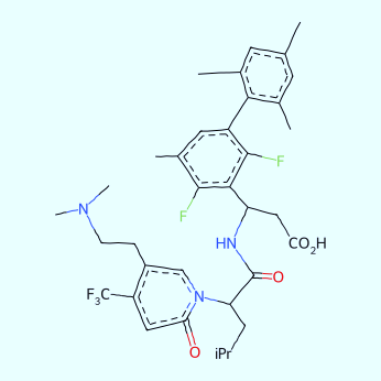 Cc1cc(C)c(-c2cc(C)c(F)c(C(CC(=O)O)NC(=O)C(CC(C)C)n3cc(CCN(C)C)c(C(F)(F)F)cc3=O)c2F)c(C)c1